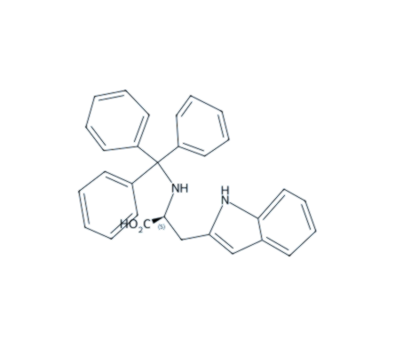 O=C(O)[C@H](Cc1cc2ccccc2[nH]1)NC(c1ccccc1)(c1ccccc1)c1ccccc1